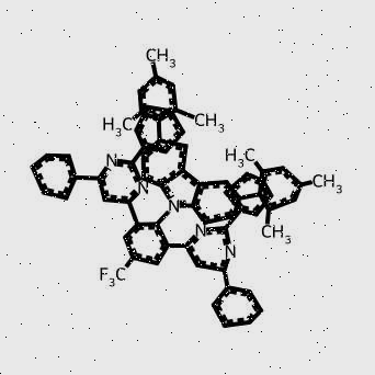 Cc1cc(C)c(-c2ccc3c(c2)c2cc(-c4c(C)cc(C)cc4C)ccc2n3-c2c(-c3cc(-c4ccccc4)nc(-c4ccccc4)n3)cc(C(F)(F)F)cc2-c2cc(-c3ccccc3)nc(-c3ccccc3)n2)c(C)c1